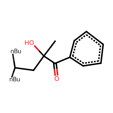 CCCCC(CCCC)CC(C)(O)C(=O)c1ccccc1